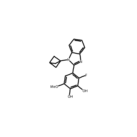 COc1cc(-c2nc3ccccc3n2C23CC(C2)C3)c(F)c(O)c1O